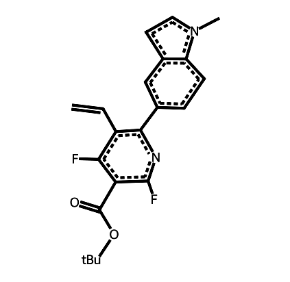 C=Cc1c(-c2ccc3c(ccn3C)c2)nc(F)c(C(=O)OC(C)(C)C)c1F